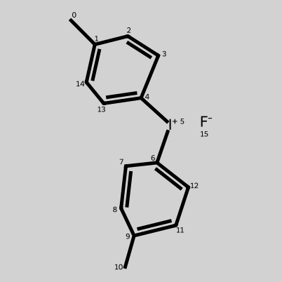 Cc1ccc([I+]c2ccc(C)cc2)cc1.[F-]